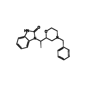 CC(C1CN(Cc2ccccc2)CCO1)n1c(=O)[nH]c2ccccc21